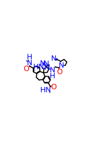 CNC(=O)c1ccc2c(c1)CCc1cc(C(=O)NC)ccc1C2(CC1(NCC(=O)N2CCCC2C#N)CC1)c1nnn[nH]1